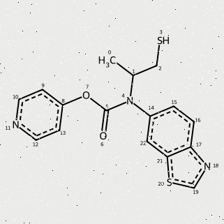 CC(CS)N(C(=O)Oc1ccncc1)c1ccc2ncsc2c1